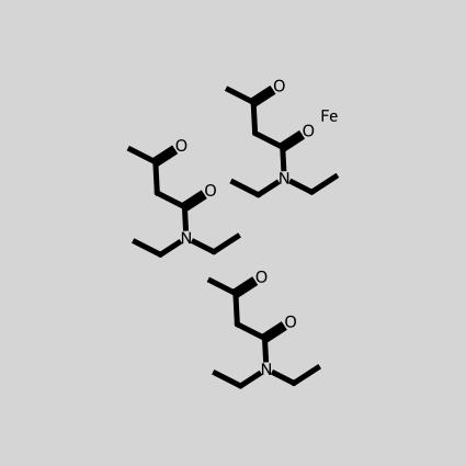 CCN(CC)C(=O)CC(C)=O.CCN(CC)C(=O)CC(C)=O.CCN(CC)C(=O)CC(C)=O.[Fe]